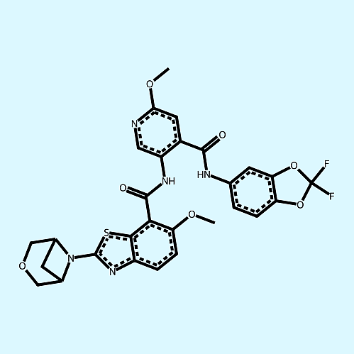 COc1cc(C(=O)Nc2ccc3c(c2)OC(F)(F)O3)c(NC(=O)c2c(OC)ccc3nc(N4C5COCC4C5)sc23)cn1